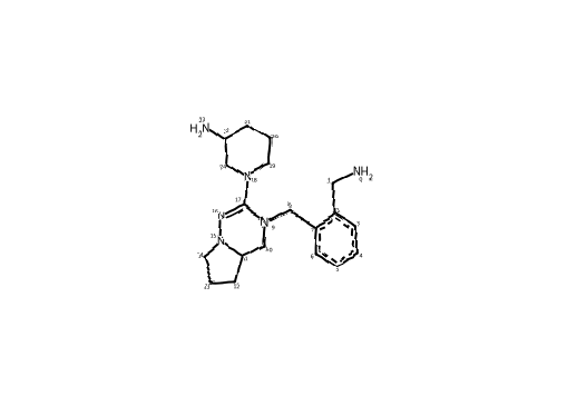 NCc1ccccc1CN1CC2CCCN2N=C1N1CCCC(N)C1